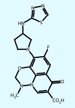 CN1COc2c(N3CCC(Nc4nncs4)C3)c(F)cc3c(=O)c(C(=O)O)cn1c23